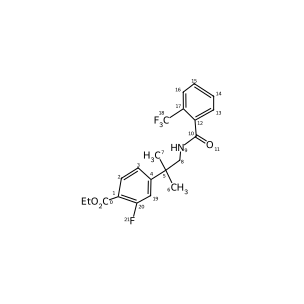 CCOC(=O)c1ccc(C(C)(C)CNC(=O)c2ccccc2C(F)(F)F)cc1F